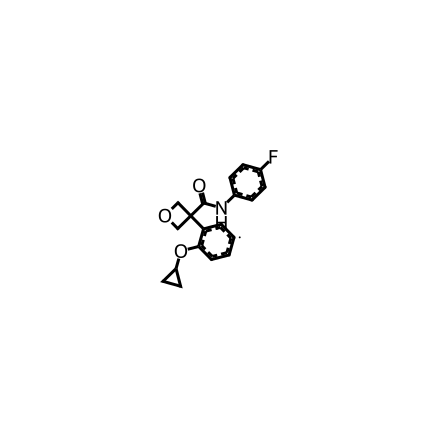 O=C(Nc1ccc(F)cc1)C1(c2c[c]ccc2OC2CC2)COC1